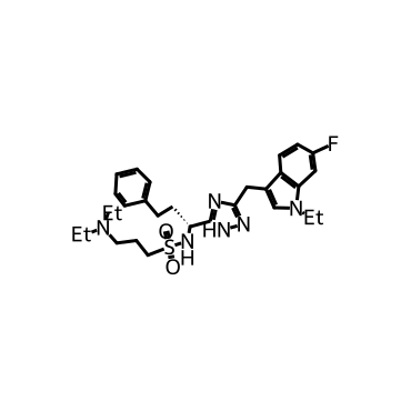 CCN(CC)CCCS(=O)(=O)N[C@H](CCc1ccccc1)c1nc(Cc2cn(CC)c3cc(F)ccc23)n[nH]1